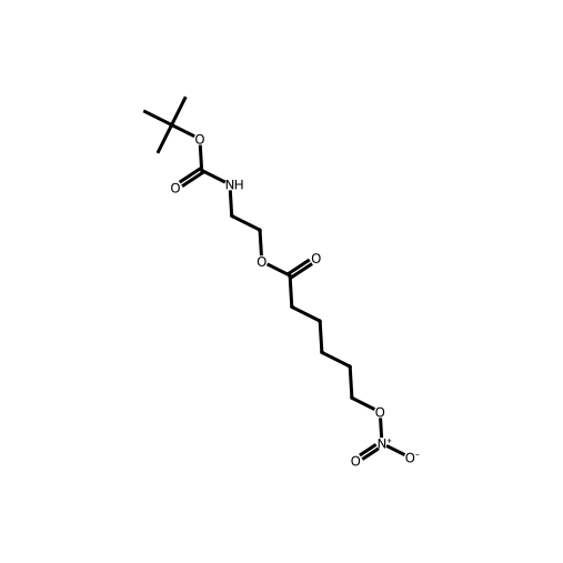 CC(C)(C)OC(=O)NCCOC(=O)CCCCCO[N+](=O)[O-]